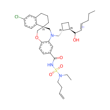 C=CCCN(CC)S(=O)(=O)NC(=O)c1ccc2c(c1)N(C[C@@H]1CC[C@H]1C(O)/C=C/CCC)C[C@@]1(CCCc3cc(Cl)ccc31)CO2